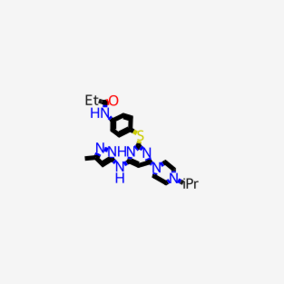 CCC(=O)Nc1ccc(Sc2nc(Nc3cc(C)n[nH]3)cc(N3CCN(C(C)C)CC3)n2)cc1